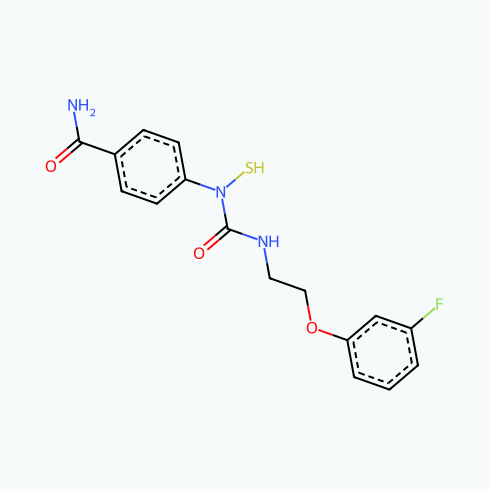 NC(=O)c1ccc(N(S)C(=O)NCCOc2cccc(F)c2)cc1